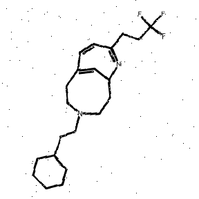 FC(F)(F)CCC1=NC2C=C(C=C1)CCN(CCC1CCCCC1)CC2